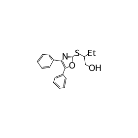 CCC(CO)Sc1nc(-c2ccccc2)c(-c2ccccc2)o1